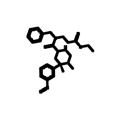 CCOC(=O)CCN(Cc1ccccc1)C(=O)C1C[C@@](C)(c2cccc(N=O)c2)C(C)CN1